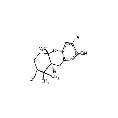 CC1(C)[C@@H](Br)CC[C@]2(C)Oc3cc(Br)c(O)cc3C[C@@H]12